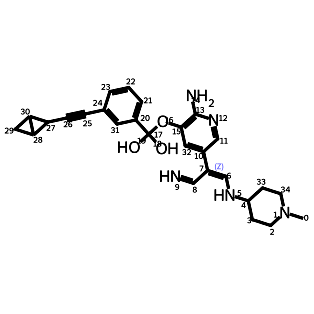 CN1CCC(N/C=C(\C=N)c2cnc(N)c(OC(O)(O)c3cccc(C#CC4C5CC45)c3)c2)CC1